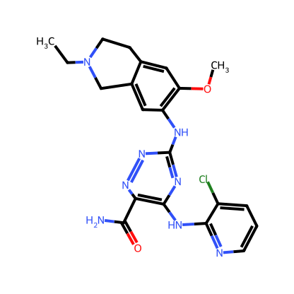 CCN1CCc2cc(OC)c(Nc3nnc(C(N)=O)c(Nc4ncccc4Cl)n3)cc2C1